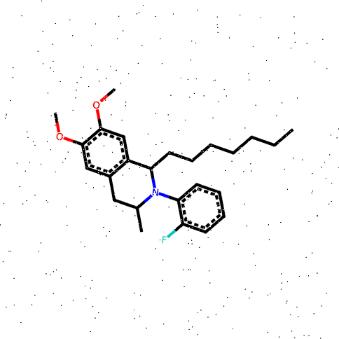 CCCCCCCC1c2cc(OC)c(OC)cc2CC(C)N1c1ccccc1F